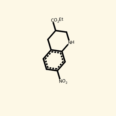 CCOC(=O)C1CNc2cc([N+](=O)[O-])ccc2C1